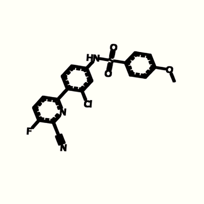 COc1ccc(S(=O)(=O)Nc2ccc(-c3ccc(F)c(C#N)n3)c(Cl)c2)cc1